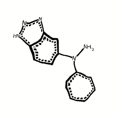 NN(c1ccccc1)c1ccc2[nH]nnc2c1